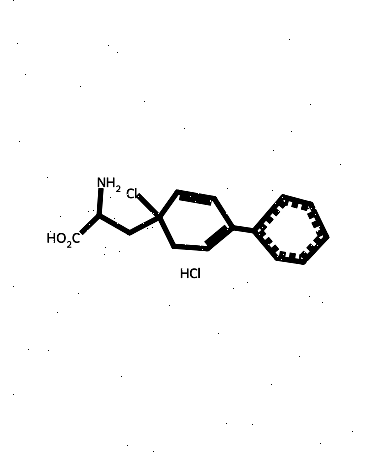 Cl.NC(CC1(Cl)C=CC(c2ccccc2)=CC1)C(=O)O